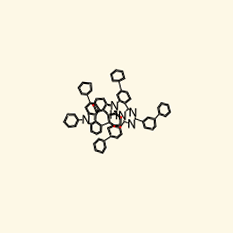 c1ccc(-c2ccc(C3N=C(c4cccc(-c5ccccc5)c4)N=C(c4ccc(-c5ccccc5)cc4-n4c5ccccc5c5c(-c6cccc7c6c6ccc(-c8ccccc8)cc6n7-c6ccccc6)cccc54)N3)cc2)cc1